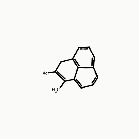 CC(=O)C1=C(C)c2cccc3cccc(c23)C1